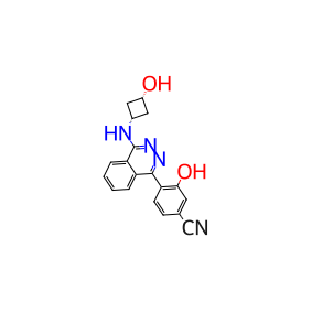 N#Cc1ccc(-c2nnc(N[C@H]3C[C@@H](O)C3)c3ccccc23)c(O)c1